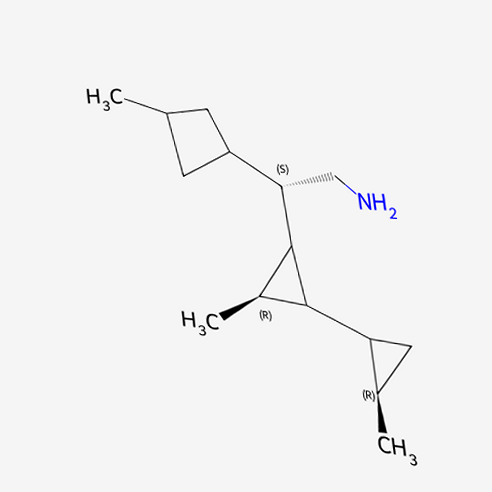 CC1CC([C@H](CN)C2C(C3C[C@H]3C)[C@H]2C)C1